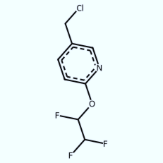 FC(F)C(F)Oc1ccc(CCl)cn1